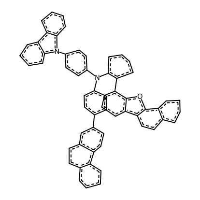 c1ccc(N(c2ccc(-c3ccc4c(ccc5ccccc54)c3)cc2)c2ccc(-n3c4ccccc4c4ccccc43)cc2)c(-c2cccc3c2oc2c4ccccc4ccc32)c1